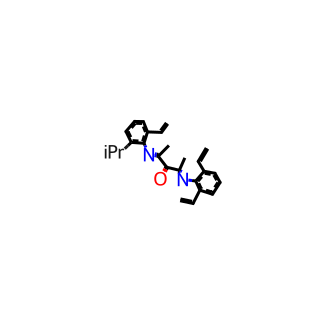 C=Cc1cccc(C=C)c1/N=C(\C)C(=O)/C(C)=N/c1c(C=C)cccc1C(C)C